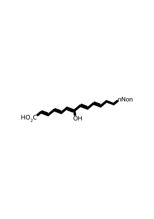 CCCCCCCCCCCC=CC=CC(O)=CC=CC=CC(=O)O